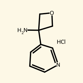 Cl.NC1(c2cccnc2)COC1